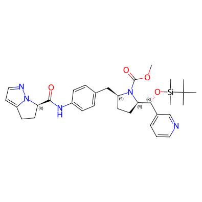 COC(=O)N1[C@H](Cc2ccc(NC(=O)[C@H]3CCc4ccnn43)cc2)CC[C@@H]1[C@H](O[Si](C)(C)C(C)(C)C)c1cccnc1